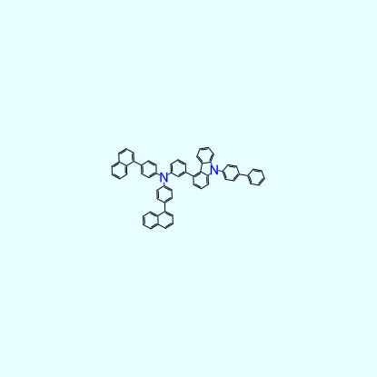 c1ccc(-c2ccc(-n3c4ccccc4c4c(-c5cccc(N(c6ccc(-c7cccc8ccccc78)cc6)c6ccc(-c7cccc8ccccc78)cc6)c5)cccc43)cc2)cc1